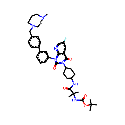 CN1CCCN(Cc2ccc(-c3cccc(-n4c(=O)n(C5CCC(NC(=O)C(C)(C)NC(=O)OC(C)(C)C)CC5)c(=O)c5cc(F)cnc54)c3)cc2)CC1